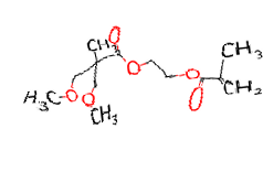 C=C(C)C(=O)OCCOC(=O)C(C)(COC)COC